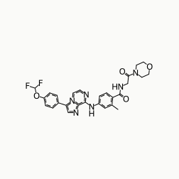 Cc1cc(Nc2nccn3c(-c4ccc(OC(F)F)cc4)cnc23)ccc1C(=O)NCC(=O)N1CCOCC1